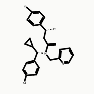 C=C(C[C@@H](C)c1ccc(F)cc1)N(Cc1ccccn1)[C@H](c1ccc(Cl)cc1)C1CC1